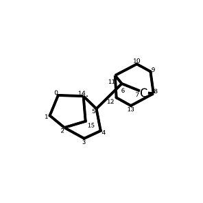 C1CC2CCC(C3CC4CCC3CC4)[C]1C2